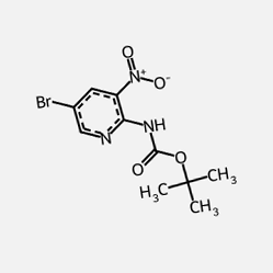 CC(C)(C)OC(=O)Nc1ncc(Br)cc1[N+](=O)[O-]